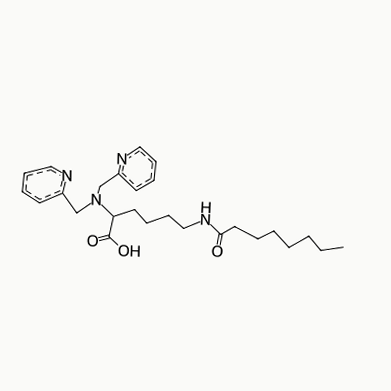 CCCCCCCC(=O)NCCCCC(C(=O)O)N(Cc1ccccn1)Cc1ccccn1